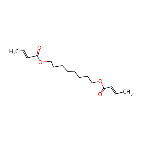 CC=CC(=O)OCCCCCCCCOC(=O)C=CC